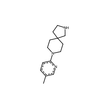 Cc1ccc(N2CCC3(CCNC3)CC2)nc1